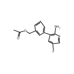 CC(=O)OCc1cccc(-c2cc(F)cnc2N)c1